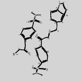 CN(C)S(=O)(=O)c1ccc(C(=O)CBr)cc1.CN(C)S(=O)(=O)c1ccc(C(=O)CSCc2ccc3sccc3c2)cc1